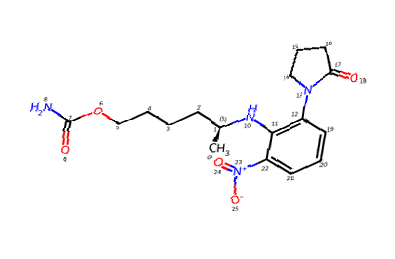 C[C@@H](CCCCOC(N)=O)Nc1c(N2CCCC2=O)cccc1[N+](=O)[O-]